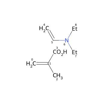 C=C(C)C(=O)O.C=CN(CC)CC